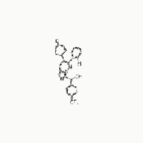 OC(c1ccc(C(F)(F)F)cc1)c1nnc2cc(-c3ccc(Cl)cc3)c(-c3ccccc3Cl)nn12